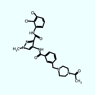 CC(=O)N1CCN(Cc2cccc(C(=O)Nc3cn(C)nc3C(=O)Nc3cccc(Cl)c3Cl)c2)CC1